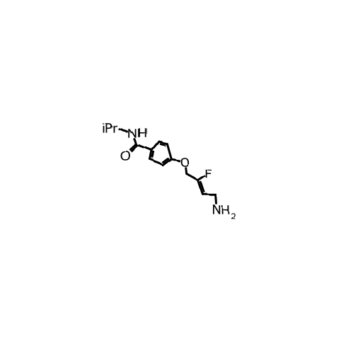 CC(C)NC(=O)c1ccc(OCC(F)=CCN)cc1